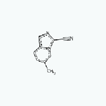 Cc1ccc2cnc(C#N)n2c1